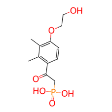 Cc1c(OCCO)ccc(C(=O)CP(=O)(O)O)c1C